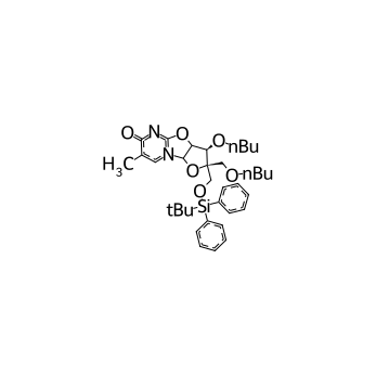 CCCCOC[C@@]1(CO[Si](c2ccccc2)(c2ccccc2)C(C)(C)C)OC2C(Oc3nc(=O)c(C)cn32)[C@H]1OCCCC